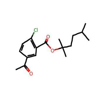 CC(=O)c1ccc(Cl)c(C(=O)OC(C)(C)CCC(C)C)c1